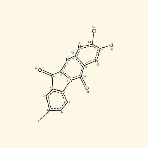 O=C1c2cc(F)ccc2-n2c1nc1nc(Cl)c(Cl)nc1c2=O